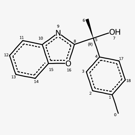 Cc1ccc([C@@](C)(O)c2nc3ccccc3o2)cc1